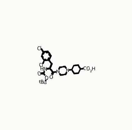 CC(C)(C)OC(=O)NC(Cc1ccc(Cl)cc1Cl)C(=O)N1CCN(C2CCC(C(=O)O)CC2)CC1